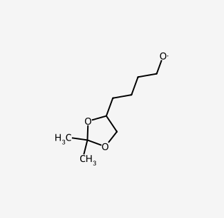 CC1(C)OCC(CCCC[O])O1